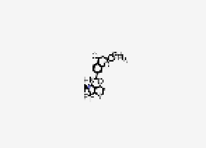 CCC1(CC)CC(=O)c2ccc(C(=O)N/C(=N/O)c3cccnc3C(F)(F)F)cc2O1